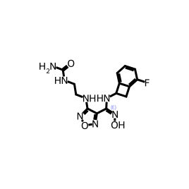 NC(=O)NCCNc1nonc1/C(=N\O)NC1Cc2c(F)cccc21